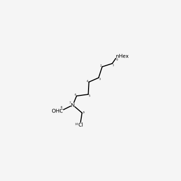 CCCCCCCCCCCCN(C=O)CCl